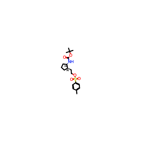 Cc1ccc(S(=O)(=O)OCC[C@H]2CCC[C@@H]2NC(=O)OC(C)(C)C)cc1